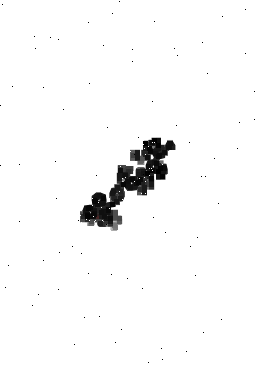 CC(C)(C)[Si](OCCN1CCN(Cc2ccc(NC(=O)Nc3ccc(-c4cn(C5CC5)c5ncnc(N)c45)n4ccnc34)cc2C(F)(F)F)CC1)(c1ccccc1)c1ccccc1